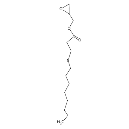 CCCCCCCCSCCC(=O)OCC1CO1